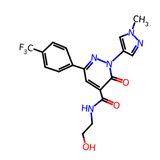 Cn1cc(-n2nc(-c3ccc(C(F)(F)F)cc3)cc(C(=O)NCCO)c2=O)cn1